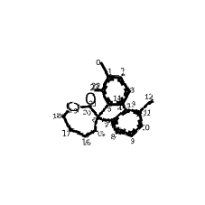 Cc1cccc(C2(c3cccc(C)c3C)CCCCOC2=O)c1C